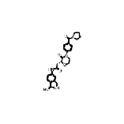 N=C1NCc2cc(NC(=O)C[C@H]3OCCN(c4ccc(C(=O)N5CCCC5)cc4)C3=O)ccc21